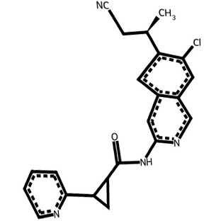 C[C@H](CC#N)c1cc2cc(NC(=O)C3CC3c3ccccn3)ncc2cc1Cl